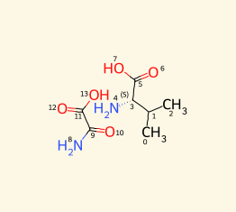 CC(C)[C@H](N)C(=O)O.NC(=O)C(=O)O